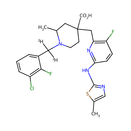 [2H]C([2H])(c1cccc(Cl)c1F)N1CCC(Cc2nc(Nc3ncc(C)s3)ccc2F)(C(=O)O)CC1C